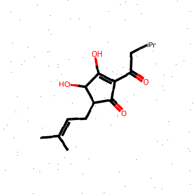 CC(C)=CCC1C(=O)C(C(=O)CC(C)C)=C(O)C1O